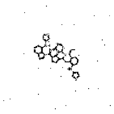 C/C=N\c1cccc(Nc2ccsc2)c1Cc1nc2ncnc3nc(-n4cnc5cccc(Nc6ccsc6)c54)c4ccc1c4n23